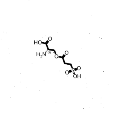 N[C@@H](COC(=O)CCS(=O)(=O)O)C(=O)O